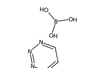 OB(O)O.c1cnnnc1